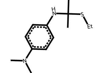 CCSC(C)(C)Nc1ccc(N(C)C)cc1